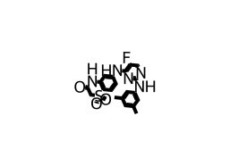 Cc1cc(C)cc(Nc2ncc(F)c(Nc3ccc4c(c3)NC(=O)CS4(=O)=O)n2)c1